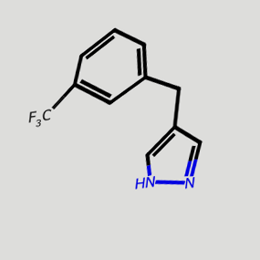 FC(F)(F)c1cccc(Cc2cn[nH]c2)c1